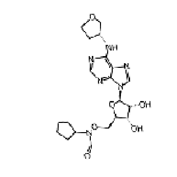 O=CN(OC[C@H]1O[C@@H](n2cnc3c(N[C@@H]4CCOC4)ncnc32)[C@H](O)[C@@H]1O)C1CCCC1